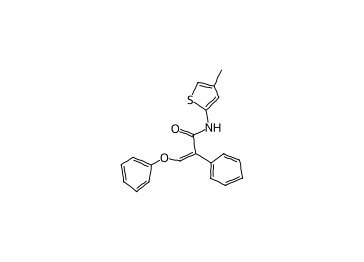 Cc1csc(NC(=O)C(=COc2ccccc2)c2ccccc2)c1